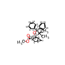 COC(=O)[C@@H]1CC2CC2[C@H]1O[Si](c1ccccc1)(c1ccccc1)C(C)(C)C